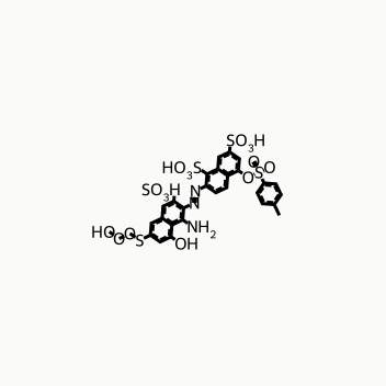 Cc1ccc(S(=O)(=O)Oc2cc(S(=O)(=O)O)cc3c(S(=O)(=O)O)c(N=Nc4c(S(=O)(=O)O)cc5cc(SOOO)cc(O)c5c4N)ccc23)cc1